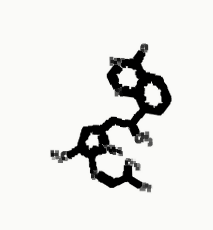 C=C(/C=N\c1[nH]c(CC(C)c2cccc3c(=O)[nH]cnc23)cc1C)C(C)C